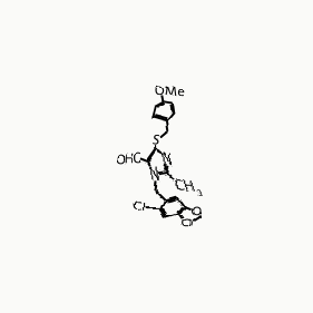 COc1ccc(CSc2nc(C)n(Cc3cc4c(cc3Cl)OCO4)c2C=O)cc1